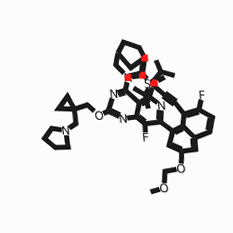 COCOc1cc(-c2nc(OC)c3c(N4CC5CCC(C5)C4)nc(OCC4(CN5CCCC5)CC4)nc3c2F)c2c(C#C[Si](C(C)C)(C(C)C)C(C)C)c(F)ccc2c1